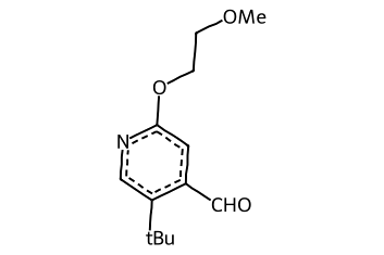 COCCOc1cc(C=O)c(C(C)(C)C)cn1